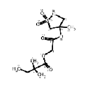 CCC(C)(C)C(=O)OCC(=O)OC1(C)COS(=O)(=O)C1